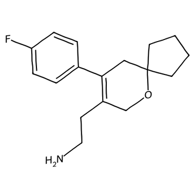 NCCC1=C(c2ccc(F)cc2)CC2(CCCC2)OC1